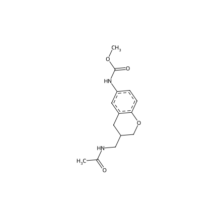 COC(=O)Nc1ccc2c(c1)CC(CNC(C)=O)CO2